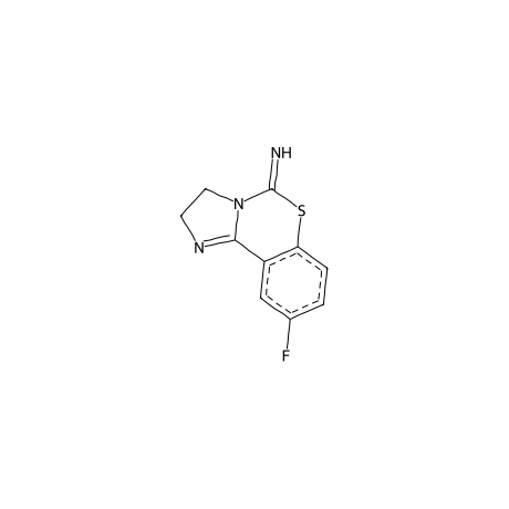 N=C1Sc2ccc(F)cc2C2=NCCN12